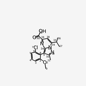 COc1cccc(Cl)c1-c1c(C)nn2c(C(C)C)cc(C(=O)O)nc12